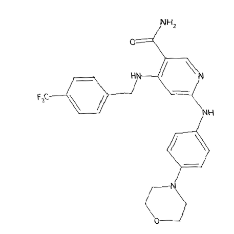 NC(=O)c1cnc(Nc2ccc(N3CCOCC3)cc2)cc1NCc1ccc(C(F)(F)F)cc1